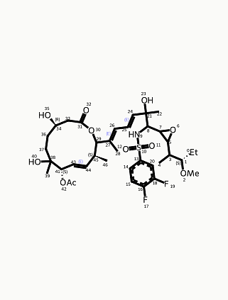 CC[C@H](OC)C(C)C1OC1C(NS(=O)(=O)c1ccc(F)c(F)c1)C(C)(O)/C=C/C=C(\C)C1OC(=O)C[C@H](O)CCC(C)(O)[C@@H](OC(C)=O)/C=C/[C@@H]1C